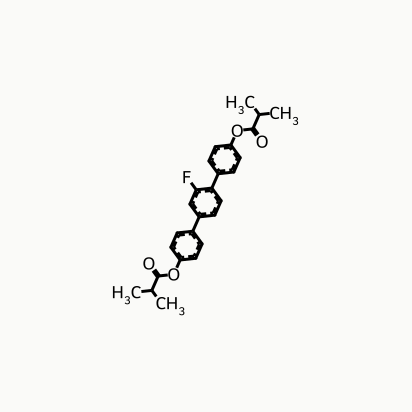 CC(C)C(=O)Oc1ccc(-c2ccc(-c3ccc(OC(=O)C(C)C)cc3)c(F)c2)cc1